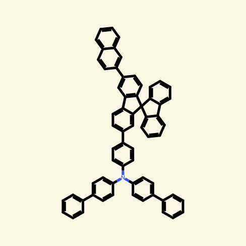 c1ccc(-c2ccc(N(c3ccc(-c4ccccc4)cc3)c3ccc(-c4ccc5c(c4)C4(c6ccccc6-c6ccccc64)c4ccc(-c6ccc7ccccc7c6)cc4-5)cc3)cc2)cc1